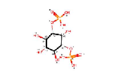 O=P(O)(O)O[C@@H]1[C@H](O)[C@H](OP(=O)(O)O)[C@@H](O)[C@H](O)[C@H]1O